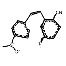 C[S+]([O-])c1ccc(/C=C\c2cc(F)ccc2C#N)cc1